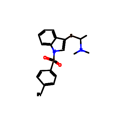 CC(C)c1ccc(S(=O)(=O)n2cc(SC(C)N(C)C)c3ccccc32)cc1